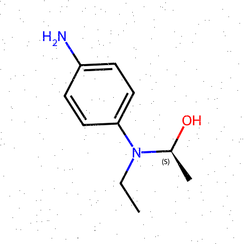 CCN(c1ccc(N)cc1)[C@H](C)O